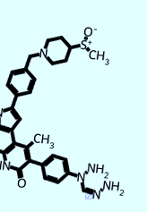 Cc1c(-c2ccc(N(N)/C=N\N)cc2)c(=O)[nH]c2cnc3[nH]c(-c4ccc(CN5CCC([S+](C)[O-])CC5)cc4)cc3c12